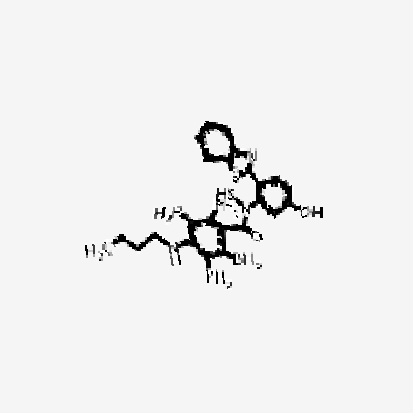 Bc1c(P)c(NCCCC)c(P)c(P)c1C(=O)N(S)c1cc(O)ccc1-c1nc2ccccc2s1